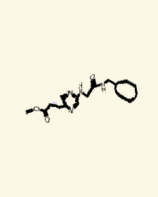 COC(=O)/C=C/c1cnc(NCC(=O)NCC2CCCCC2)cn1